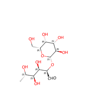 C[C@H](O)[C@H](O)[C@@H](O)[C@H](C=O)O[C@@H]1O[C@H](CO)[C@H](O)[C@H](O)[C@H]1O